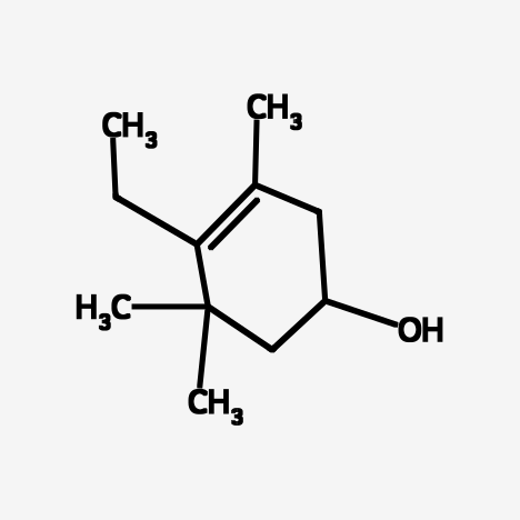 CCC1=C(C)CC(O)CC1(C)C